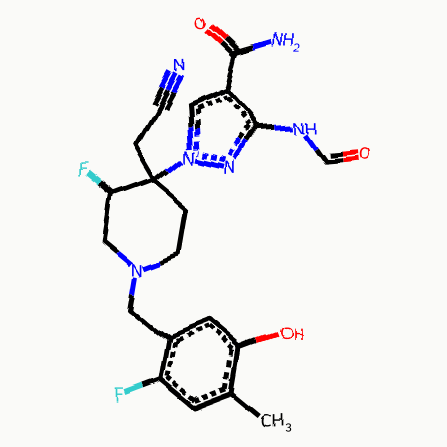 Cc1cc(F)c(CN2CCC(CC#N)(n3cc(C(N)=O)c(NC=O)n3)C(F)C2)cc1O